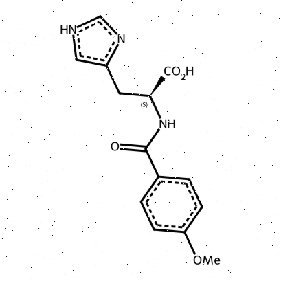 COc1ccc(C(=O)N[C@@H](Cc2c[nH]cn2)C(=O)O)cc1